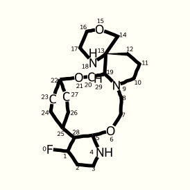 FC1CCNC2OCCN3CCC[C@@]4(COCCN4)[C@@H]3COC3CCC(CC3)C12